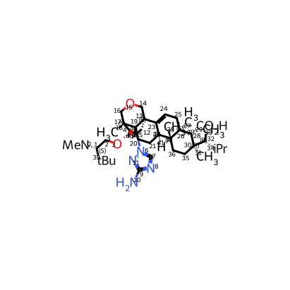 CN[C@H](CO[C@H]1[C@H](n2cnc(N)n2)C[C@@]23COC[C@]1(C)[C@@H]2CC[C@H]1C3=CC[C@@]2(C)[C@H](C(=O)O)[C@@](C)([C@H](C)C(C)C)CC[C@]12C)C(C)(C)C